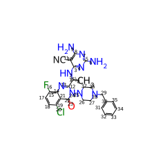 C[C@H](Nc1nc(N)nc(N)c1C#N)c1nc2c(F)ccc(Cl)c2c(=O)n1N1CCN(Cc2ccccc2)CC1